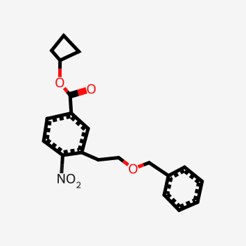 O=C(OC1CCC1)c1ccc([N+](=O)[O-])c(CCOCc2ccccc2)c1